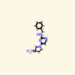 N[C@@H]1CCN(c2ccnc(NCc3ccccc3)n2)C1